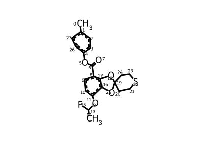 Cc1ccc(OC(=O)c2ccc(OC(C)F)c3c2OC2(CCSCC2)O3)cc1